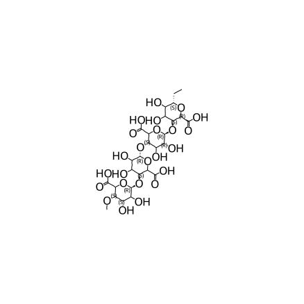 CC[C@@H]1O[C@@H](C(=O)O)[C@@H](O[C@@H]2OC(C(=O)O)[C@@H](O[C@@H]3OC(C(=O)O)[C@@H](O[C@@H]4OC(C(=O)O)[C@@H](OC)[C@@H](O)C4O)C(O)C3O)C(O)[C@H]2O)C(O)C1O